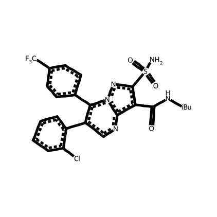 CCC(C)NC(=O)c1c(S(N)(=O)=O)nn2c(-c3ccc(C(F)(F)F)cc3)c(-c3ccccc3Cl)cnc12